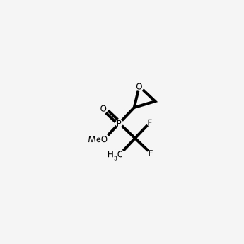 COP(=O)(C1CO1)C(C)(F)F